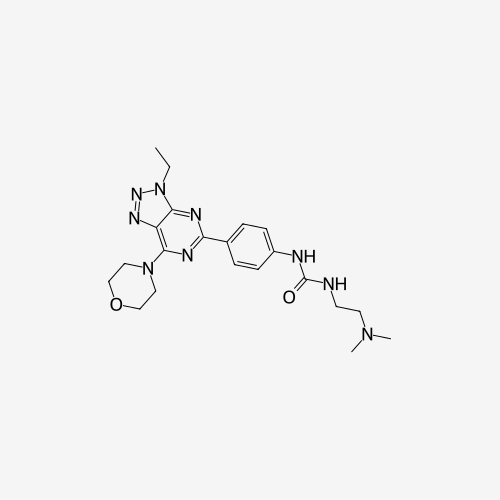 CCn1nnc2c(N3CCOCC3)nc(-c3ccc(NC(=O)NCCN(C)C)cc3)nc21